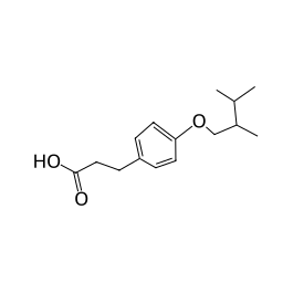 CC(C)C(C)COc1ccc(CCC(=O)O)cc1